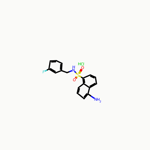 Cl.Nc1cccc2c(S(=O)(=O)NCc3cccc(F)c3)cccc12